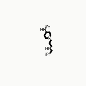 CC(C)CNCCCN1CCC(NC(C)C)CC1